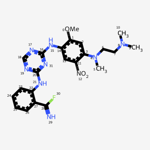 COc1cc(N(C)CCN(C)C)c([N+](=O)[O-])cc1Nc1ncnc(Nc2ccccc2C(=N)F)n1